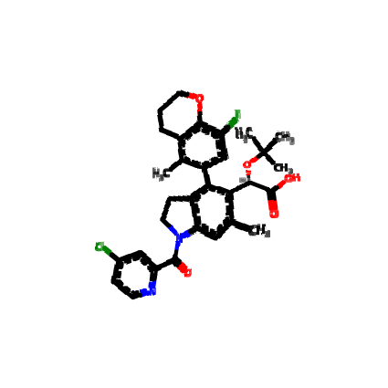 Cc1cc2c(c(-c3cc(F)c4c(c3C)CCCO4)c1[C@H](OC(C)(C)C)C(=O)O)CCN2C(=O)c1cc(Cl)ccn1